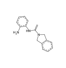 C=C(Nc1ccccc1N)N1Cc2ccccc2C1